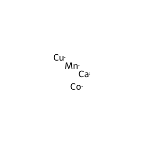 [Ca].[Co].[Cu].[Mn]